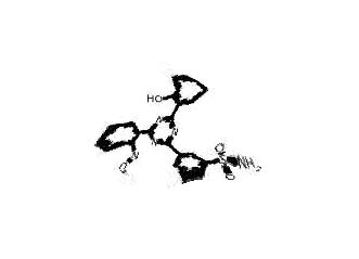 NS(=O)(=O)c1cccc(-c2nc(-c3ccccc3O)nc(-c3ccccc3N=O)n2)c1